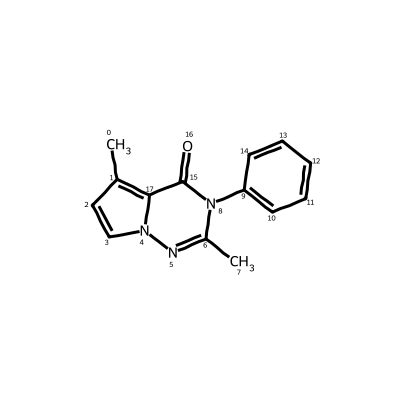 Cc1ccn2nc(C)n(-c3ccccc3)c(=O)c12